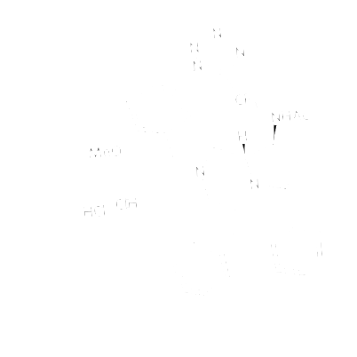 COc1ccc(-n2nnnc2C(F)(F)F)cc1CN1C[C@@H]2[C@@H](NC(C)=O)CCN2[C@H](C(c2ccccc2)c2ccccc2)C1.Cl.Cl